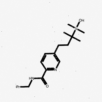 CC(C)CNC(=O)c1ccc(CCC(C)(C)[Si](C)(C)O)cn1